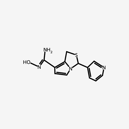 NC(=NO)c1ccn2c1CSC2c1cccnc1